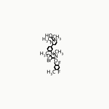 Cc1cc(COc2nc(C)n(-c3cc(-c4ccnc(C(C)(C)O)n4)ccc3C)c(=O)c2Br)c(F)cc1F